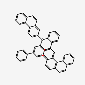 c1ccc(-c2cccc(N(c3ccc4c(ccc5ccccc54)c3)c3ccccc3-c3ccc4ccc5ccc6ccccc6c5c4c3)c2)cc1